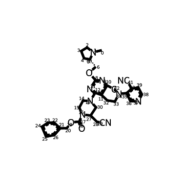 CN1CCC[C@H]1COc1nc2c(c(N3CCN(C(=O)OCc4ccccc4)C(CC#N)C3)n1)CCN(c1cnccc1C#N)C2